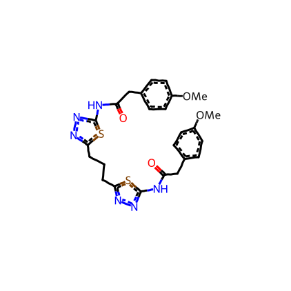 COc1ccc(CC(=O)Nc2nnc(CCCc3nnc(NC(=O)Cc4ccc(OC)cc4)s3)s2)cc1